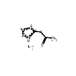 CC(=O)Cc1nnn[nH]1.Cl